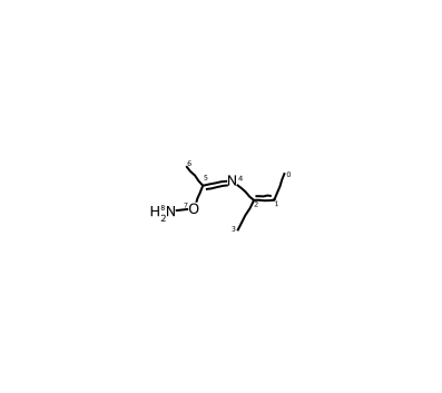 C/C=C(C)\N=C(\C)ON